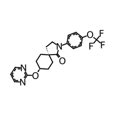 O=C1N(c2ccc(OC(F)(F)F)cc2)CC[C@]12CC[C@H](Oc1ncccn1)CC2